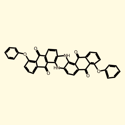 O=c1c2ccc3[nH]c4c(ccc5c(=O)c6c(Oc7ccccc7)cccc6c(=O)c54)[nH]c3c2c(=O)c2cccc(Oc3ccccc3)c12